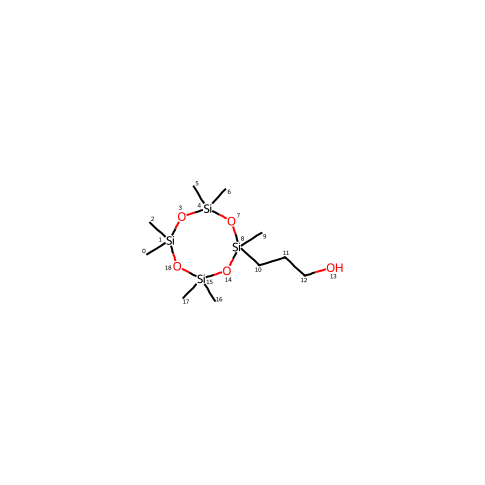 C[Si]1(C)O[Si](C)(C)O[Si](C)(CCCO)O[Si](C)(C)O1